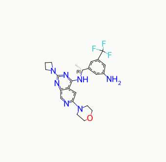 C[C@@H](Nc1nc(N2CCC2)nc2cnc(N3CCOCC3)cc12)c1cc(N)cc(C(F)(F)F)c1